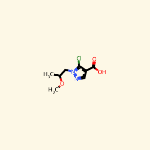 COC(C)Cn1ncc(C(=O)O)c1Cl